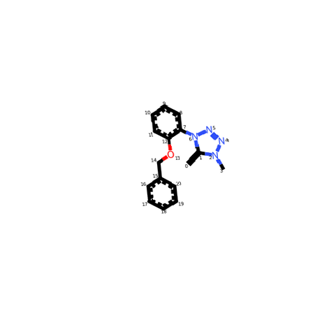 C=C1N(C)N=NN1c1ccccc1OCc1ccccc1